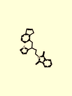 C=c1c2ccccc2c(=C)n1CCC(Cc1cccc2c1CC=C2)c1cccs1